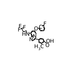 Cc1cc(-c2cnc3c(NCCC(F)(F)F)cc(Oc4cccc(F)c4)cn23)ccc1C(=O)O